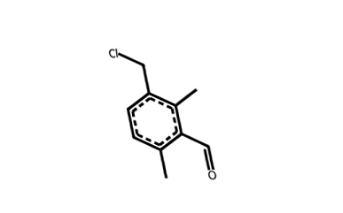 Cc1ccc(CCl)c(C)c1C=O